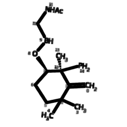 C=C1C(C)(C)CC[C@@H](OBCNC(C)=O)[C@@]1(C)P